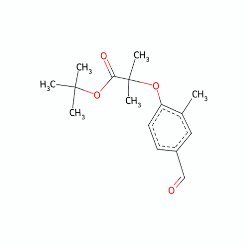 Cc1cc(C=O)ccc1OC(C)(C)C(=O)OC(C)(C)C